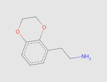 NCCc1cccc2c1OCCO2